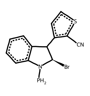 N#Cc1sccc1C1c2ccccc2N(P)[C@@H]1Br